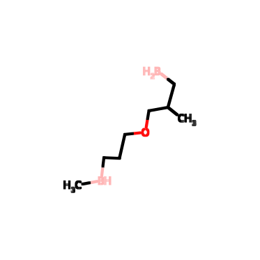 BCC(C)COCCCBC